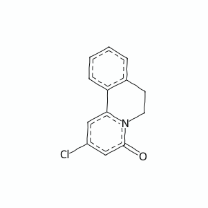 O=c1cc(Cl)cc2n1CCc1ccccc1-2